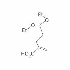 C=C(CCC(OCC)OCC)C(=O)O